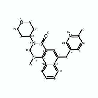 Cc1ccc(Cc2cc3c(c4ccccc24)N(C)CN(C2CCOCC2)C3=O)cn1